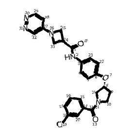 O=C(Nc1ccc(O[C@@H]2CCN(C(=O)c3cccc(Cl)c3)C2)cc1)C1CN(c2ccnnc2)C1